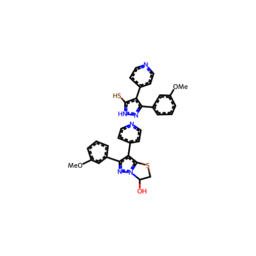 COc1cccc(-c2n[nH]c(S)c2-c2ccncc2)c1.COc1cccc(-c2nn3c(c2-c2ccncc2)SCC3O)c1